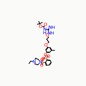 CCN1CCN(S(=O)(=O)c2ccccc2S(=O)(=O)Oc2cc(C)cc(OCCCONC(=N)NC(=O)OC(C)(C)C)c2)CC1